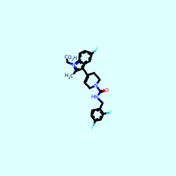 Cc1c(C2=CCN(C(=O)NCc3ccc(F)cc3F)CC2)c2cc(F)ccc2n1CC(=O)O